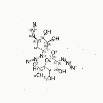 C[C@H](O)C(CO)O[C@H](O[C@@H]1C(N=[N+]=[N-])C[C@@H](N=[N+]=[N-])C(O)[C@H]1O)[C@@H](CO)N=[N+]=[N-]